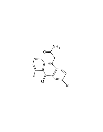 NC(=O)CNc1ccc(Br)cc1C(=O)c1ccccc1F